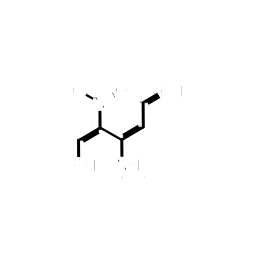 C=C/C=C(N)\C(=C/C)[N+](=O)[O-]